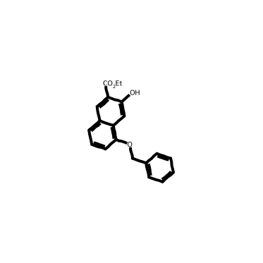 CCOC(=O)c1cc2cccc(OCc3ccccc3)c2cc1O